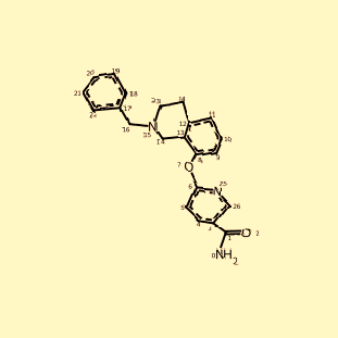 NC(=O)c1ccc(Oc2cccc3c2CN(Cc2ccccc2)CC3)nc1